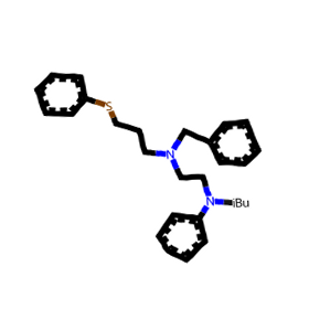 CCC(C)N(CCN(CCCSc1ccccc1)Cc1ccccc1)c1ccccc1